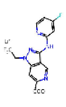 O=C([O-])c1cc2c(cn1)c(Nc1cc(F)ccn1)nn2CC(F)(F)F.[Li+]